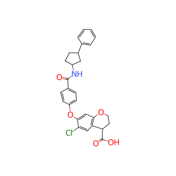 O=C(NC1CCC(c2ccccc2)C1)c1ccc(Oc2cc3c(cc2Cl)C(C(=O)O)CCO3)cc1